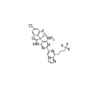 Nc1nc(-c2cn3ccnc3c(CCCC(F)(F)F)n2)nc2c1C(c1ccc(Cl)cc1F)(C1CC1)C(=O)N2